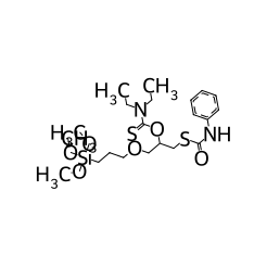 CCN(CC)C(=S)OC(COCCC[Si](OC)(OC)OC)CSC(=O)Nc1ccccc1